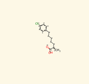 C=C(CCCCCc1ccc(Cl)cc1)C(=O)O